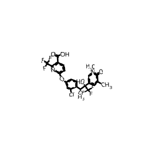 Cc1cc([C@@](O)([C@@H](C)c2ccc(Oc3ccc(C(=O)O)c(C(F)(F)F)n3)cc2Cl)C(F)(F)F)cn(C)c1=O